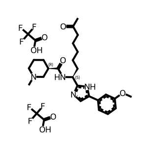 COc1cccc(-c2cnc([C@H](CCCCCC(C)=O)NC(=O)[C@@H]3CCCN(C)C3)[nH]2)c1.O=C(O)C(F)(F)F.O=C(O)C(F)(F)F